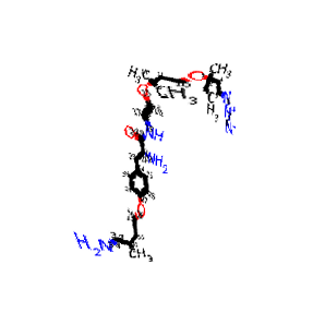 CCC(C)(CCN=[N+]=[N-])OCCC(C)(C)OCCNC(=O)[C@@H](N)Cc1ccc(OCCC(C)CN)cc1